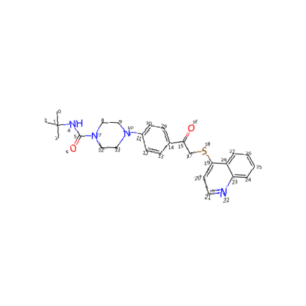 CC(C)(C)NC(=O)N1CCN(c2ccc(C(=O)CSc3ccnc4ccccc34)cc2)CC1